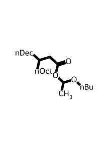 CCCCCCCCCCC(CCCCCCCC)CC(=O)OC(C)OCCCC